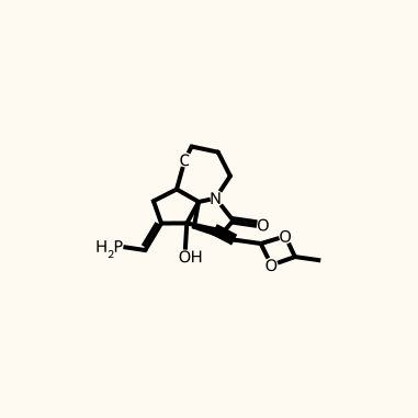 CC1OC(C#CC2(O)/C(=C/P)CC3CCCCN4C(=O)CCC342)O1